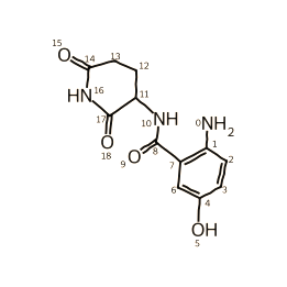 Nc1ccc(O)cc1C(=O)NC1CCC(=O)NC1=O